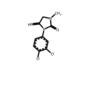 CN1CC(=N)N(c2ccc(Cl)c(Cl)c2)C1=O